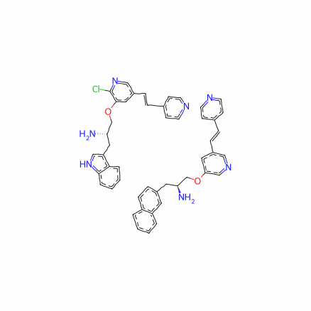 N[C@H](COc1cc(C=Cc2ccncc2)cnc1Cl)Cc1c[nH]c2ccccc12.N[C@H](COc1cncc(C=Cc2ccncc2)c1)Cc1ccc2ccccc2c1